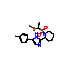 CSC(C)S(=O)(=O)N1CCCCC1c1ncc(-c2ccc(C)cc2)[nH]1